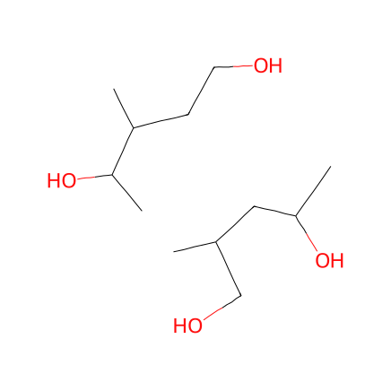 CC(O)C(C)CCO.CC(O)CC(C)CO